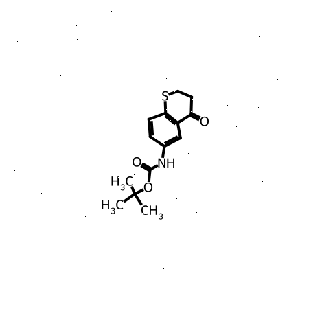 CC(C)(C)OC(=O)Nc1ccc2c(c1)C(=O)CCS2